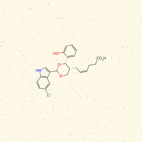 O=C(O)CC/C=C\C[C@@H]1COC(c2c[nH]c3ccc(Cl)cc23)O[C@@H]1c1ccccc1O